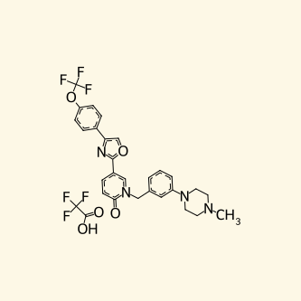 CN1CCN(c2cccc(Cn3cc(-c4nc(-c5ccc(OC(F)(F)F)cc5)co4)ccc3=O)c2)CC1.O=C(O)C(F)(F)F